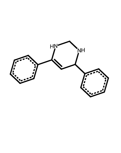 C1=C(c2ccccc2)NCNC1c1ccccc1